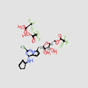 O=C(O)C(F)(F)F.O=C(O)C(F)(F)F.O=C(OC[C@H]1O[C@@H](Cc2ccc3c(NC4CCCC4)nc(Cl)nn23)[C@H](O)[C@@H]1O)C(F)(F)F